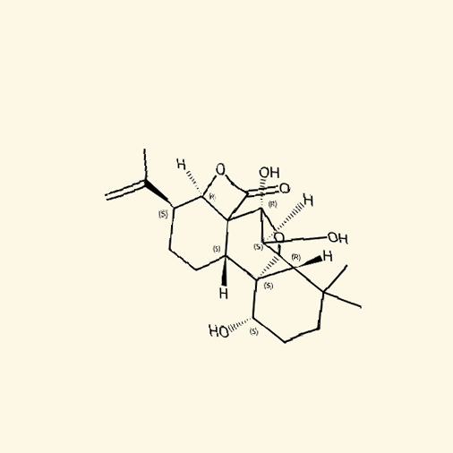 C=C(C)[C@@H]1CC[C@@H]2C3(C(=O)O[C@H]13)[C@@]1(O)OC[C@@]23[C@H]([C@@H]1O)C(C)(C)CC[C@@H]3O